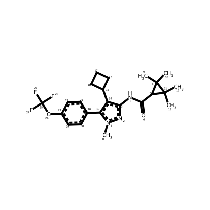 Cn1nc(NC(=O)C2C(C)(C)C2(C)C)c(C2CCC2)c1-c1ccc(OC(F)(F)F)cc1